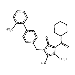 CCCCc1c(C(=O)O)n(C(=O)C2CCCCC2)c(=O)n1Cc1ccc(-c2ccccc2C(=O)O)cc1